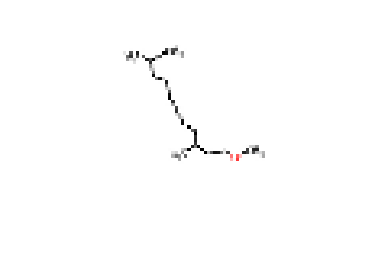 COCCC(C)CCCCCCC(C)C